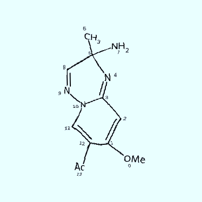 COC1=CC2=NC(C)(N)C=NN2C=C1C(C)=O